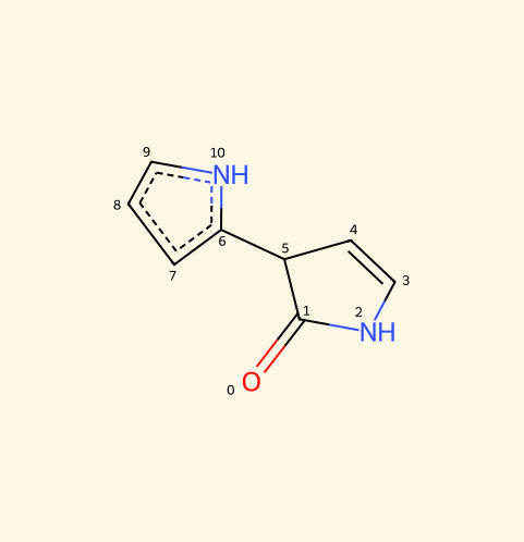 O=C1NC=CC1c1ccc[nH]1